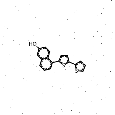 Oc1ccc2c(-c3ccc(-c4cccs4)s3)cccc2c1